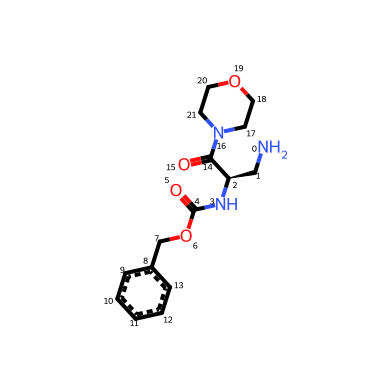 NC[C@@H](NC(=O)OCc1ccccc1)C(=O)N1CCOCC1